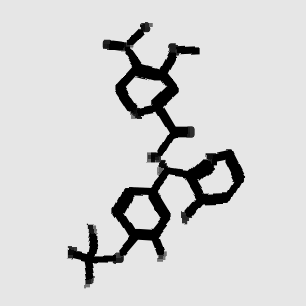 COc1cc(C(=O)N[C@@H](c2ccc(OC(F)(F)F)c(F)c2)c2ncccc2F)ncc1[N+](=O)[O-]